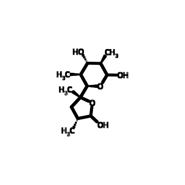 C[C@H]1[C@H](O)[C@@H](C)C(O)O[C@H]1[C@@]1(C)C[C@@H](C)C(O)O1